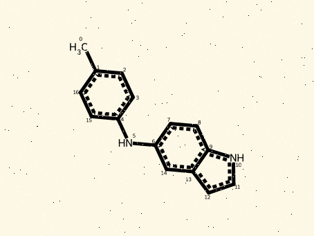 Cc1ccc(Nc2ccc3[nH]ccc3c2)cc1